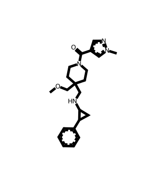 COCC1(CNC2CC2c2ccccc2)CCN(C(=O)c2cnn(C)c2)CC1